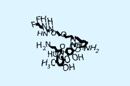 CC1CO[C@H](O[C@@H]2[C@@H](O)[C@H](O[C@H]3OC(CNCCOCCONC(=N)NCC(F)F)=CC[C@H]3N)[C@@H](N)C[C@H]2NC(=O)[C@@H](O)CCN)[C@H](O)C1